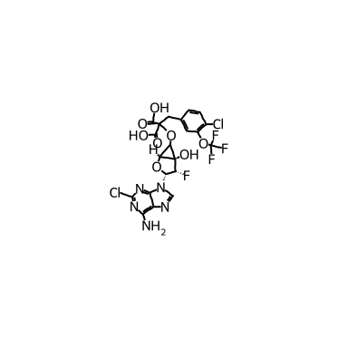 Nc1nc(Cl)nc2c1ncn2[C@@H]1O[C@@H]2C(OC(Cc3ccc(Cl)c(OC(F)(F)F)c3)(C(=O)O)C(=O)O)[C@]2(O)[C@@H]1F